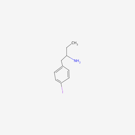 CCC(N)Cc1ccc(I)cc1